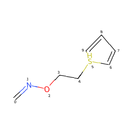 C=NOCC[SH]1C=CC=C1